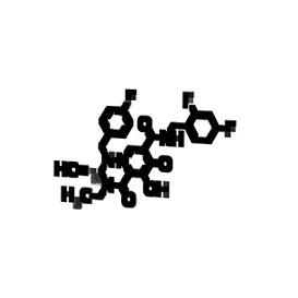 C#C[C@H]1N(CC)C(=O)c2c(O)c(=O)c(C(=O)NCC3=CCC(F)C=C3F)cn2N1Cc1ccc(F)cc1